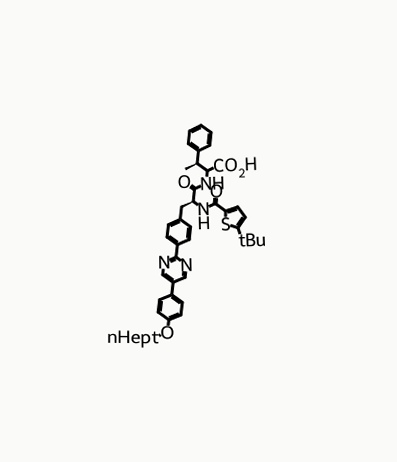 CCCCCCCOc1ccc(-c2cnc(-c3ccc(C[C@H](NC(=O)c4ccc(C(C)(C)C)s4)C(=O)NC(C(=O)O)[C@@H](C)c4ccccc4)cc3)nc2)cc1